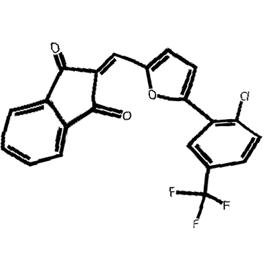 O=C1C(=Cc2ccc(-c3cc(C(F)(F)F)ccc3Cl)o2)C(=O)c2ccccc21